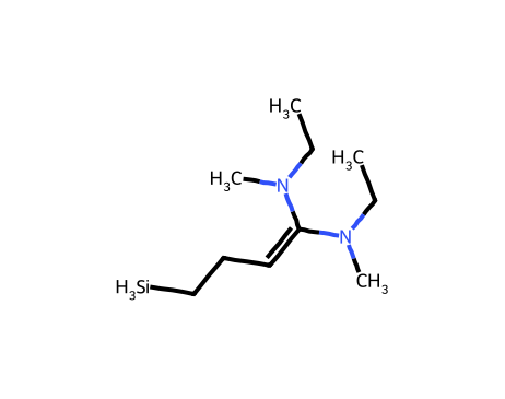 CCN(C)C(=CCC[SiH3])N(C)CC